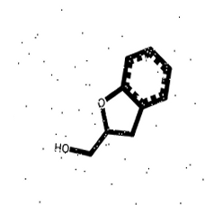 OCC1Cc2ccccc2O1